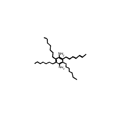 CCCCCCCc1c(N)c(CCCCCCC)c(CCCCCCC)c(N)c1CCCCCCC